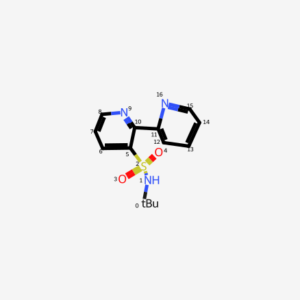 CC(C)(C)NS(=O)(=O)c1cccnc1-c1ccccn1